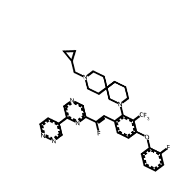 F/C(=C\c1ccc(Oc2ccccc2F)c(C(F)(F)F)c1N1CCCC2(CCN(CC3CC3)CC2)C1)c1cncc(-c2ccnnc2)n1